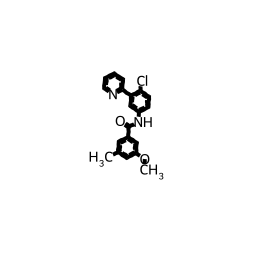 COc1cc(C)cc(C(=O)Nc2ccc(Cl)c(-c3ccccn3)c2)c1